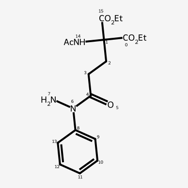 CCOC(=O)C(CCC(=O)N(N)c1ccccc1)(NC(C)=O)C(=O)OCC